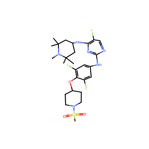 CN1C(C)(C)CC(Nc2nc(Nc3cc(F)c(OC4CCN(S(C)(=O)=O)CC4)c(F)c3)ncc2F)CC1(C)C